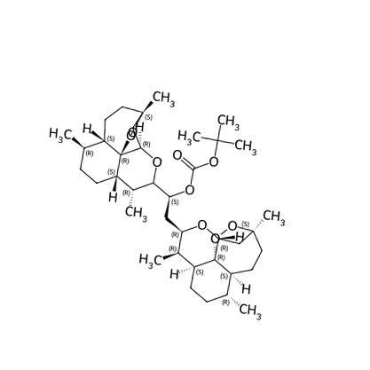 C[C@H]1[C@@H](C[C@H](OC(=O)OC(C)(C)C)C2O[C@@H]3C[C@]4(C)CC[C@H]5[C@H](C)CC[C@@H]([C@H]2C)[C@@]35OO4)O[C@@H]2C[C@]3(C)CC[C@H]4[C@H](C)CC[C@@H]1[C@@]24OO3